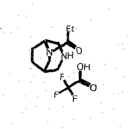 CCC(=O)N1CC2CCC1CNC2.O=C(O)C(F)(F)F